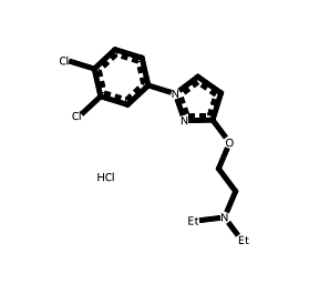 CCN(CC)CCOc1ccn(-c2ccc(Cl)c(Cl)c2)n1.Cl